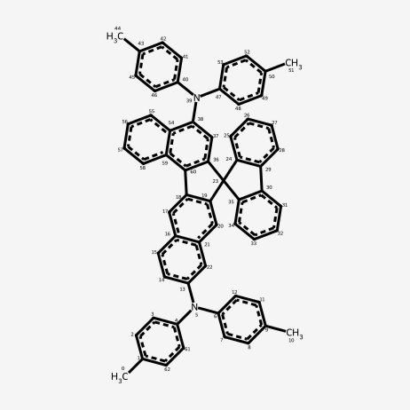 Cc1ccc(N(c2ccc(C)cc2)c2ccc3cc4c(cc3c2)C2(c3ccccc3-c3ccccc32)c2cc(N(c3ccc(C)cc3)c3ccc(C)cc3)c3ccccc3c2-4)cc1